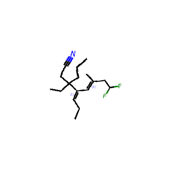 CC/C=C(\C=C(/C)CC(F)F)C(CC)(CC#N)CCC